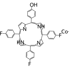 Oc1ccc(-c2c3nc(c(-c4ccc(F)cc4)c4ccc([nH]4)c(-c4ccc(F)cc4)c4nc(c(-c5ccc(F)cc5)c5ccc2[nH]5)C=C4)C=C3)cc1.[Co]